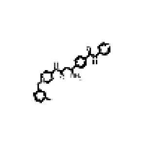 Cc1cccc(CN2CCC(NC(=O)CC(N)c3ccc(C(=O)Nc4ccncc4)cc3)CC2)c1